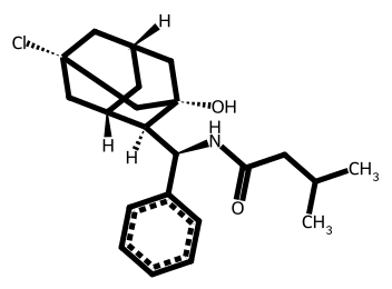 CC(C)CC(=O)N[C@@H](c1ccccc1)[C@H]1[C@H]2C[C@@H]3C[C@](Cl)(C2)C[C@@]1(O)C3